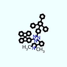 Cc1ccc(-c2ccccc2-c2nc(-c3ccc(-c4c(-c5ccccc5)cc(-c5ccccc5)cc4-c4ccccc4)cc3)nc(-c3ccc4c(c3)C3(c5ccccc5-c5ccccc53)c3ccccc3-4)n2)c(C)n1